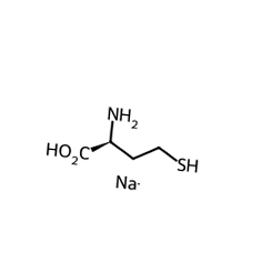 N[C@@H](CCS)C(=O)O.[Na]